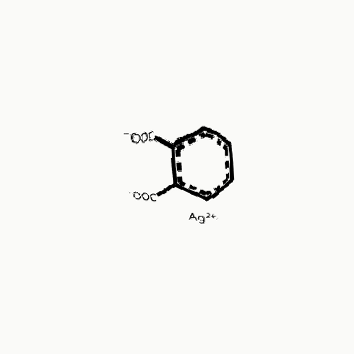 O=C([O-])c1ccccc1C(=O)[O-].[Ag+2]